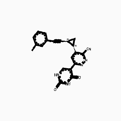 Cc1cccc(C#C[C@H]2C[C@@H]2c2cc(-c3c[nH]c(=O)[nH]c3=O)nnc2C#N)c1